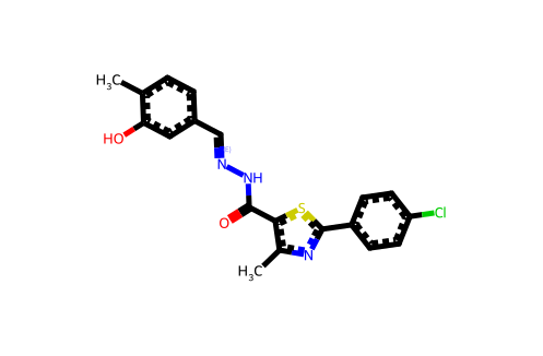 Cc1ccc(/C=N/NC(=O)c2sc(-c3ccc(Cl)cc3)nc2C)cc1O